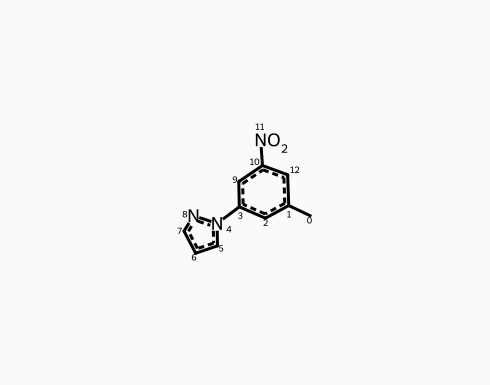 Cc1cc(-n2cccn2)cc([N+](=O)[O-])c1